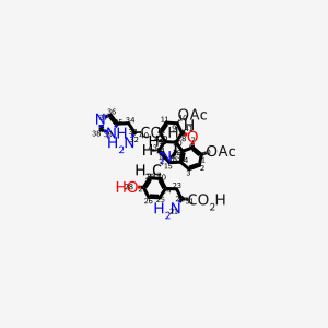 CC(=O)Oc1ccc2c3c1O[C@H]1[C@@H](OC(C)=O)C=C[C@H]4[C@@H](C2)N(C)CC[C@@]341.NC(Cc1ccc(O)cc1)C(=O)O.N[C@@H](Cc1cnc[nH]1)C(=O)O